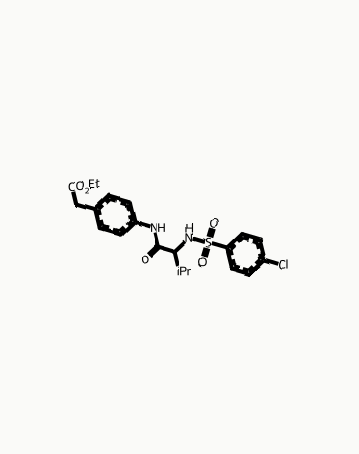 CCOC(=O)Cc1ccc(NC(=O)C(NS(=O)(=O)c2ccc(Cl)cc2)C(C)C)cc1